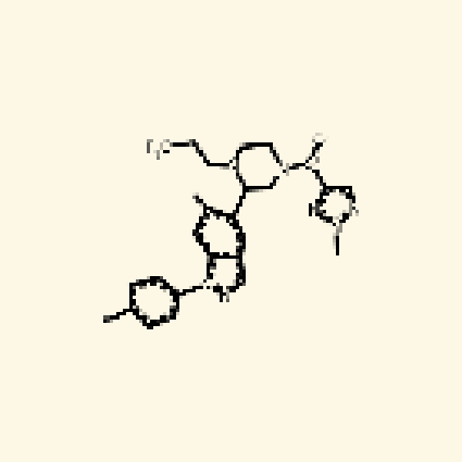 Cc1cc2c(cnn2-c2ccc(F)cc2)cc1C1CN([S+]([O-])c2cnn(C)n2)CCN1CCC(F)(F)F